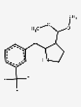 COC(OC)C1CCNC1Cc1cccc(C(F)(F)F)c1